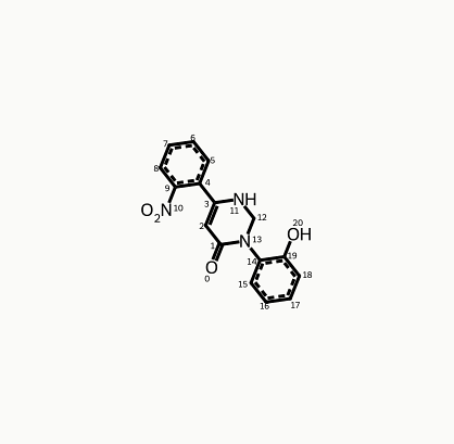 O=C1C=C(c2ccccc2[N+](=O)[O-])NCN1c1ccccc1O